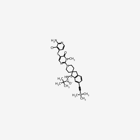 Cn1c(N2CCC3(CC2)Cc2ccc(C#C[Si](C)(C)C)cc2[C@H]3N[S+]([O-])C(C)(C)C)ncc(Sc2ccnc(N)c2Cl)c1=O